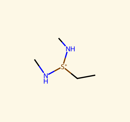 CC[S+](NC)NC